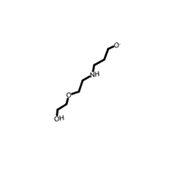 [O]CCCNCCOCCO